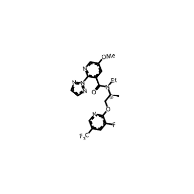 CCN(C(=O)c1cc(OC)cnc1-n1nccn1)[C@@H](C)COc1ncc(C(F)(F)F)cc1F